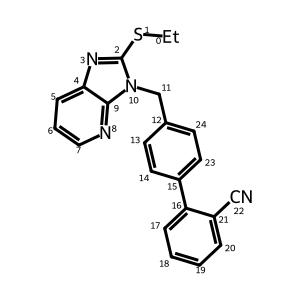 CCSc1nc2cccnc2n1Cc1ccc(-c2ccccc2C#N)cc1